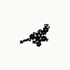 CCN1C(=O)[C@H](NC(=O)c2cccc(C(F)(F)F)c2)[C@H](c2ccc(F)cc2)c2c(C(=O)N3CCC[C@H]3C#N)nn(-c3cccc(OCCCBr)c3)c21